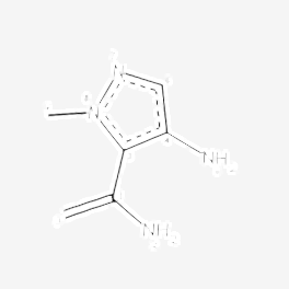 C=C(N)c1c(N)cnn1C